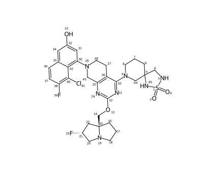 O=S1(=O)NCC2(CCCN(c3nc(OC[C@@]45CCCN4C[C@H](F)C5)nc4c3CCN(c3cc(O)cc5ccc(F)c(Cl)c35)C4)C2)N1